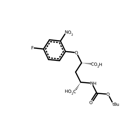 CC(C)(C)OC(=O)N[C@@H](C[C@H](Oc1ccc(F)cc1[N+](=O)[O-])C(=O)O)C(=O)O